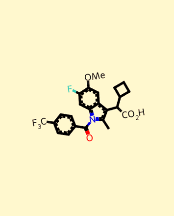 COc1cc2c(C(C(=O)O)C3CCC3)c(C)n(C(=O)c3ccc(C(F)(F)F)cc3)c2cc1F